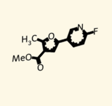 COC(=O)c1cc(-c2ccc(F)nc2)oc1C